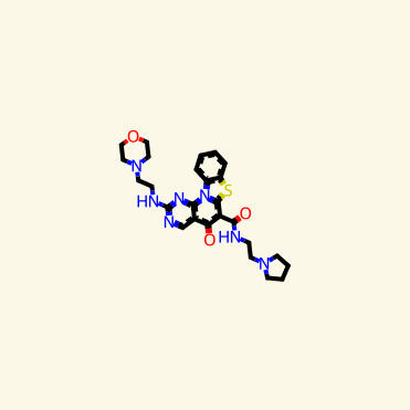 O=C(NCCN1CCCC1)c1c(=O)c2cnc(NCCN3CCOCC3)nc2n2c1sc1ccccc12